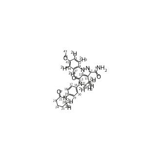 [2H]c1c([2H])c(-n2nc(C(N)=O)c3c2C(=O)N(c2ccc(N4C(=O)CCCC4([2H])[2H])cc2)C([2H])([2H])C3([2H])[2H])c([2H])c([2H])c1OC